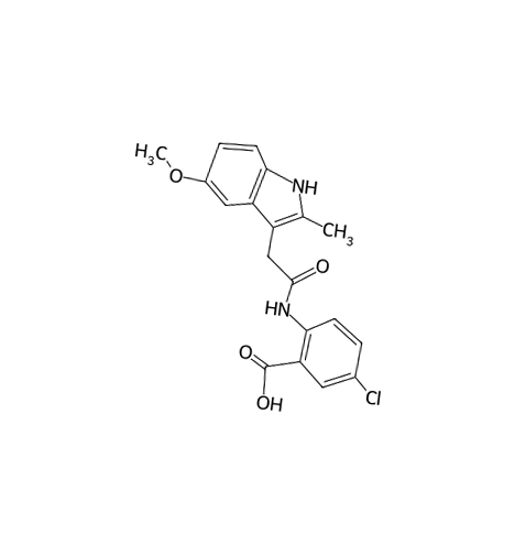 COc1ccc2[nH]c(C)c(CC(=O)Nc3ccc(Cl)cc3C(=O)O)c2c1